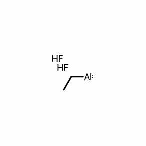 C[CH2][Al].F.F